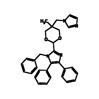 CC1(Cn2ccnc2)COC(c2nc(-c3ccccc3)c(-c3ccccc3)n2Cc2ccccc2)OC1